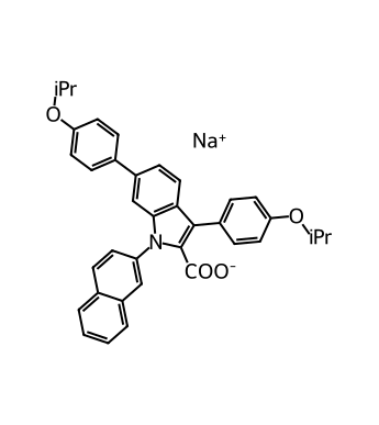 CC(C)Oc1ccc(-c2ccc3c(-c4ccc(OC(C)C)cc4)c(C(=O)[O-])n(-c4ccc5ccccc5c4)c3c2)cc1.[Na+]